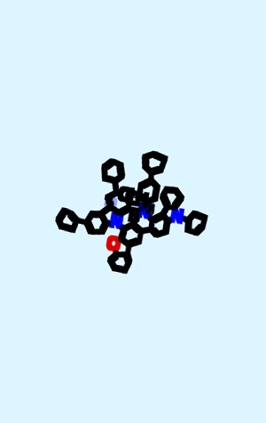 C=C(/C=c1\c2n(c3ccc(-c4ccccc4)cc13)-c1c3c(cc4c1oc1ccccc14)-c1ccc4c(c1N(c1ccc(-c5ccccc5)cc1)B3C=2C)c1ccccc1n4-c1ccccc1)c1ccccc1